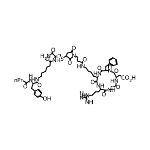 CCCC(=O)NC(Cc1ccc(O)cc1)C(=O)NCCCCCC(=O)N[C@@H](CSC1CC(=O)N(CCC(=O)NCCCCC2NC(=O)C(Cc3ccccc3)NC(=O)C(CC(=O)O)NC(=O)CNC(=O)C(CCCNC(=N)N)NC2=O)C1=O)C(N)=O